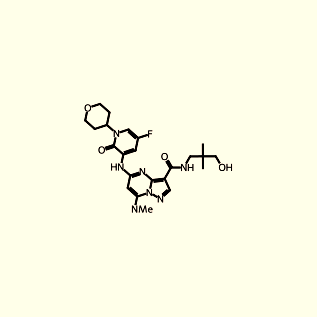 CNc1cc(Nc2cc(F)cn(C3CCOCC3)c2=O)nc2c(C(=O)NCC(C)(C)CO)cnn12